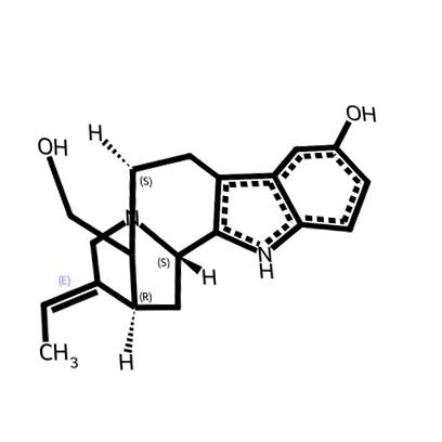 C/C=C1/CN2[C@H]3C[C@@H]1C(CO)[C@@H]2Cc1c3[nH]c2ccc(O)cc12